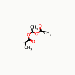 C[CH]C(=O)OC(C)OC(C)=O